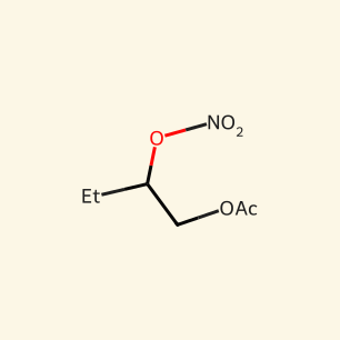 CCC(COC(C)=O)O[N+](=O)[O-]